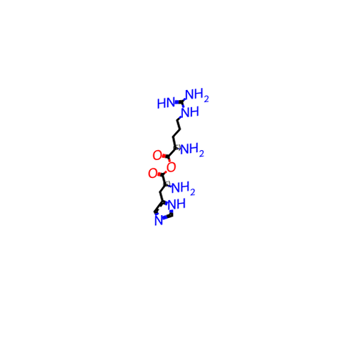 N=C(N)NCCC[C@H](N)C(=O)OC(=O)[C@@H](N)Cc1cnc[nH]1